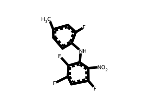 Cc1ccc(Nc2c(F)c(F)cc(F)c2[N+](=O)[O-])c(F)c1